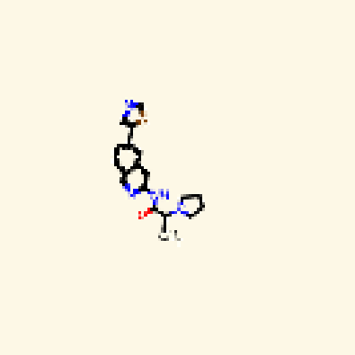 CC(C(=O)Nc1cc2cc(-c3cncs3)ccc2cn1)N1CCCC1